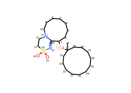 CC1(BC2CCCCCCCN3CCS(=O)(=O)N=C23)CCCCCCCCCCC1